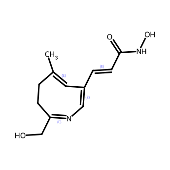 C\C1=C/C(/C=C/C(=O)NO)=C\N=C(\CO)CC1